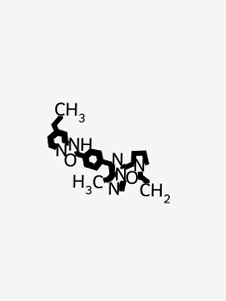 C=CC(=O)N1CCCC1c1nc(-c2ccc(C(=O)Nc3cc(CCC)ccn3)cc2)c2c(C)nccn12